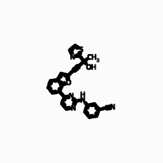 CC(O)(C#Cc1cc2cccc(-c3ccnc(Nc4cccc(C#N)c4)n3)c2o1)c1nccs1